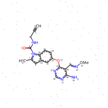 C#CCNC(=O)n1c(C)cc2cc(Oc3ncnc(N)c3C=NOC)ccc21